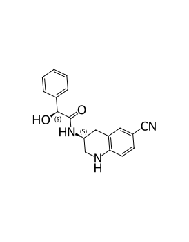 N#Cc1ccc2c(c1)C[C@H](NC(=O)[C@@H](O)c1ccccc1)CN2